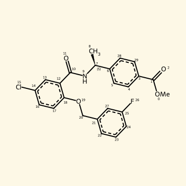 COC(=O)c1ccc([C@H](C)NC(=O)c2cc(Cl)ccc2OCc2cccc(F)c2)cc1